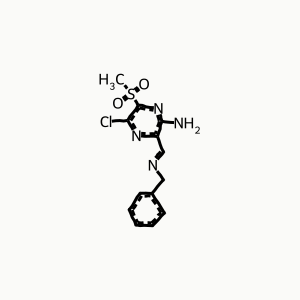 CS(=O)(=O)c1nc(N)c(C=NCc2ccccc2)nc1Cl